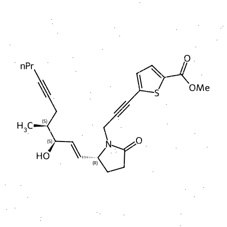 CCCC#CC[C@H](C)[C@H](O)C=C[C@H]1CCC(=O)N1CC#Cc1ccc(C(=O)OC)s1